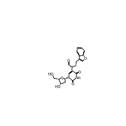 O=CN(CCc1coc2ccccc12)c1cn([C@H]2C[C@H](O)[C@@H](CO)O2)c(=O)[nH]c1=O